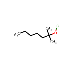 CCCCCC(C)(C)OCl